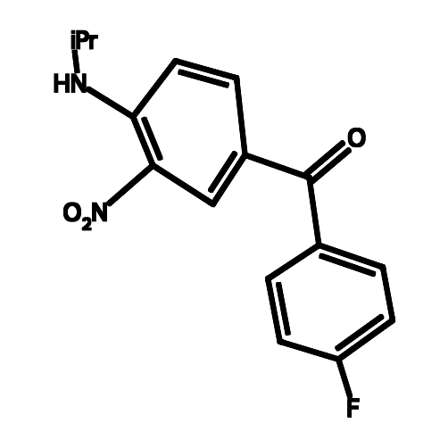 CC(C)Nc1ccc(C(=O)c2ccc(F)cc2)cc1[N+](=O)[O-]